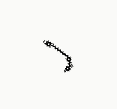 C=Cc1ccc(OCCCCCCCCCCCCc2ccc(C=CC(=O)c3ccc(F)cc3)cc2)cc1